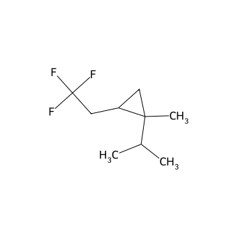 CC(C)C1(C)CC1CC(F)(F)F